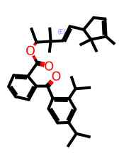 CC1=CCC(/C=C/C(C)(C)C(C)OC(=O)c2ccccc2C(=O)c2ccc(C(C)C)cc2C(C)C)C1(C)C